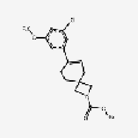 CC(C)(C)OC(=O)N1CC2(CC=C(c3cc(Cl)cc(OC(F)(F)F)c3)CC2)C1